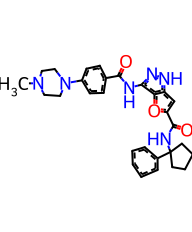 CN1CCN(c2ccc(C(=O)Nc3n[nH]c4cc(C(=O)NC5(c6ccccc6)CCCC5)oc34)cc2)CC1